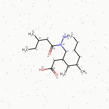 CCCCC(C)C(C)C(CC(=O)O)CN(N)C(=O)CC(C)CC